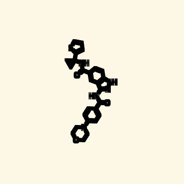 O=C(Nc1n[nH]c2ccc(C(=O)NC3(c4cccs4)CC3)cc12)c1ccc(N2CCOCC2)cc1